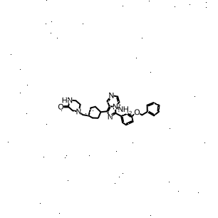 N[N+]12C=CN=CC1=C(C1CCC(CN3CCNC(=O)C3)CC1)N=C2c1cccc(OCc2ccccc2)c1